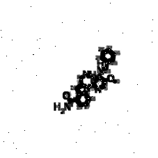 COc1cnc(-n2c(CN)cc3c(C(N)=O)cccc32)nc1NCc1ccccc1